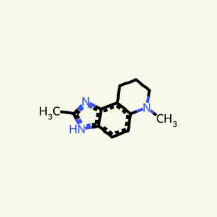 Cc1nc2c3c(ccc2[nH]1)N(C)CCC3